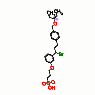 C=C/C(=C\C)OCc1ccc(CCC(Br)c2cccc(OCCCS(=O)(=O)O)c2)cc1